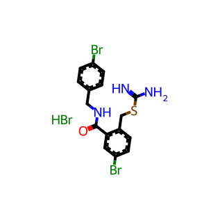 Br.N=C(N)SCc1ccc(Br)cc1C(=O)NCc1ccc(Br)cc1